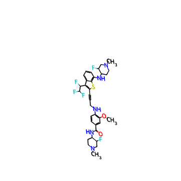 COc1cc(C(=O)NC2CCN(C)CC2F)ccc1NCC#Cc1sc2c(NC3CCN(C)CC3F)cccc2c1C(F)C(F)F